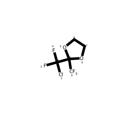 FC(F)(F)C1(C(F)(F)Cl)OCCO1